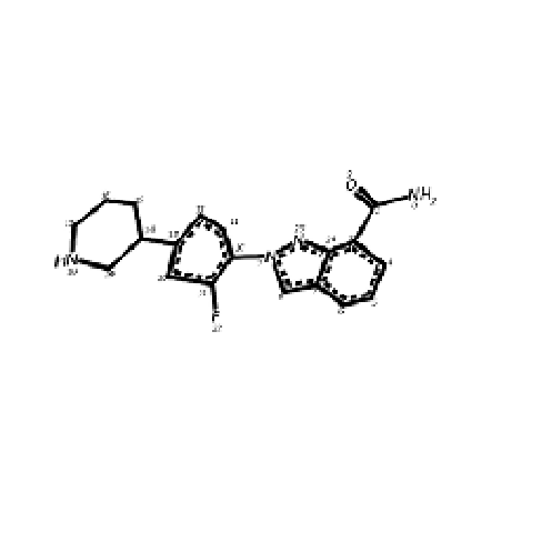 NC(=O)c1cccc2cn(-c3ccc(C4CCCNC4)cc3F)nc12